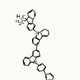 CC1(C)c2ccc(N3c4ccc(-c5ccc6c(c5)c5ccccc5n6-c5ccc(-c6ccccc6)cc5)cc4C4=CCCCC43)cc2C2C=CC=CC21